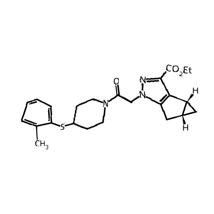 CCOC(=O)c1nn(CC(=O)N2CCC(Sc3ccccc3C)CC2)c2c1[C@@H]1C[C@@H]1C2